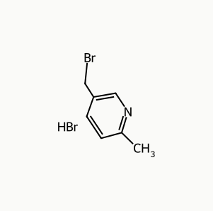 Br.Cc1ccc(CBr)cn1